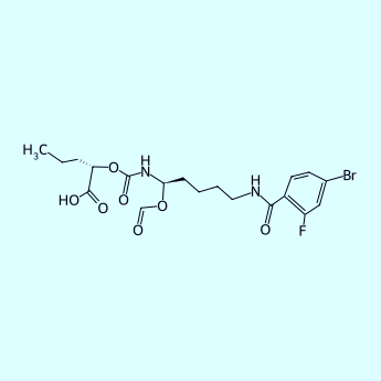 CCC[C@H](OC(=O)N[C@@H](CCCCNC(=O)c1ccc(Br)cc1F)OC=O)C(=O)O